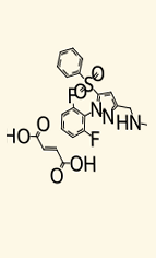 CNCc1cc(S(=O)(=O)c2ccccc2)n(-c2c(F)cccc2F)n1.O=C(O)C=CC(=O)O